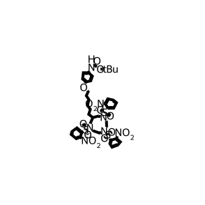 CC(C)(C)OC(=O)Nc1ccc(OCCCCCCC2CN(S(=O)(=O)c3ccccc3[N+](=O)[O-])CCN(S(=O)(=O)c3ccccc3[N+](=O)[O-])CCN(S(=O)(=O)c3ccccc3[N+](=O)[O-])C2)cc1